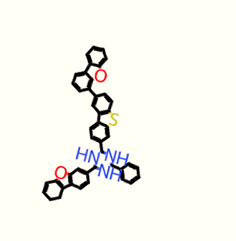 C1=Cc2oc3cc(C4NC(c5ccccc5)NC(c5ccc6c(c5)sc5ccc(-c7cccc8c7oc7ccccc78)cc56)N4)ccc3c2CC1